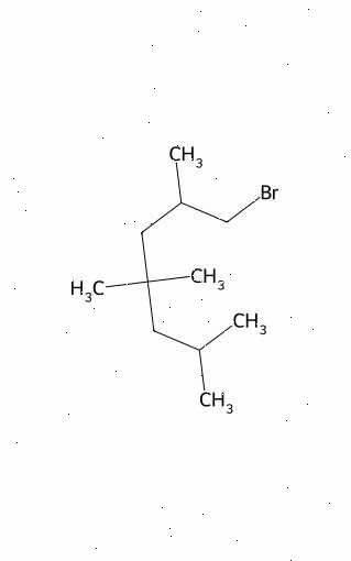 CC(C)CC(C)(C)CC(C)CBr